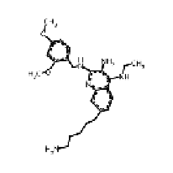 CCNc1c(N)c(NCc2ccc(OC)cc2OC)nc2cc(CCCCCN)ccc12